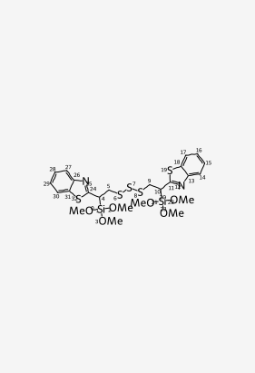 CO[Si](OC)(OC)C(CSSSCC(c1nc2ccccc2s1)[Si](OC)(OC)OC)c1nc2ccccc2s1